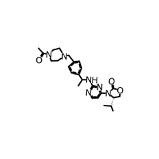 CC(=O)N1CCN(Cc2ccc(C(C)Nc3nccc(N4C(=O)OC[C@@H]4C(C)C)n3)cc2)CC1